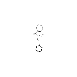 O=C1C2=C(CCCC2)S(=O)(=O)N1CSc1ccccc1